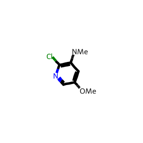 CNc1cc(OC)cnc1Cl